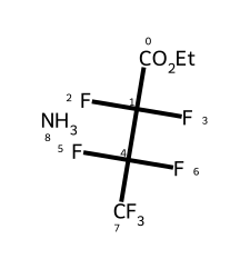 CCOC(=O)C(F)(F)C(F)(F)C(F)(F)F.N